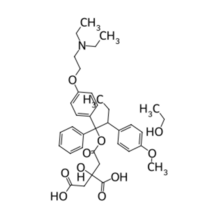 CCC(c1ccc(OC)cc1)C(OC(=O)CC(O)(CC(=O)O)C(=O)O)(c1ccccc1)c1ccc(OCCN(CC)CC)cc1.CCO